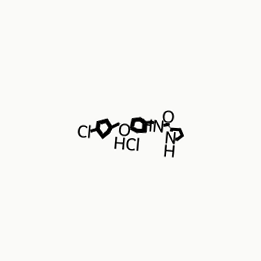 Cl.O=C(NCc1ccc(OCc2ccc(Cl)cc2)cc1)[C@@H]1CCCN1